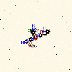 CCCCOC(=O)[C@@H]1CNCCN1C1CCN(C(=O)[C@@H](Cc2cc(Cl)c(N)c(C(F)(F)F)c2)OC(=O)N2CCC(N3CCc4ccccc4NC3=O)CC2)CC1